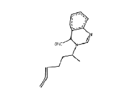 C=C=CCCC(C)N1C=Nc2ccccc2C1C=O